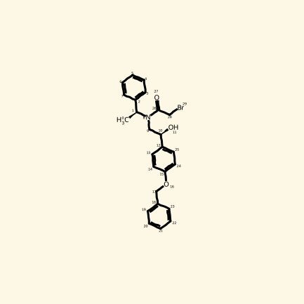 C[C@@H](c1ccccc1)N(C[C@@H](O)c1ccc(OCc2ccccc2)cc1)C(=O)CBr